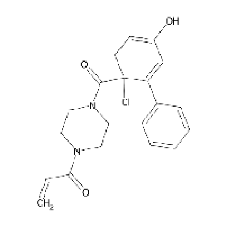 C=CC(=O)N1CCN(C(=O)C2(Cl)CC=C(O)C=C2c2ccccc2)CC1